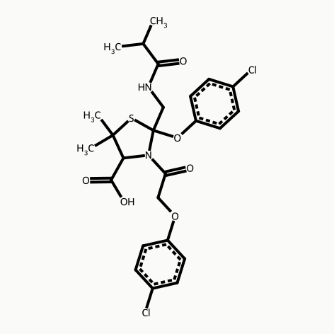 CC(C)C(=O)NCC1(Oc2ccc(Cl)cc2)SC(C)(C)C(C(=O)O)N1C(=O)COc1ccc(Cl)cc1